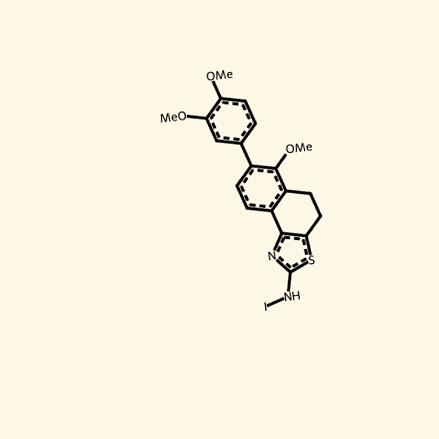 COc1ccc(-c2ccc3c(c2OC)CCc2sc(NI)nc2-3)cc1OC